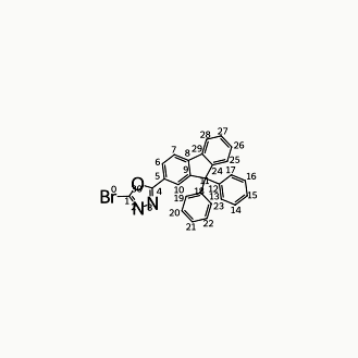 Brc1nnc(-c2ccc3c(c2)C(c2ccccc2)(c2ccccc2)c2ccccc2-3)o1